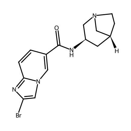 O=C(N[C@@H]1C[C@H]2CCN(C2)C1)c1ccc2nc(Br)cn2c1